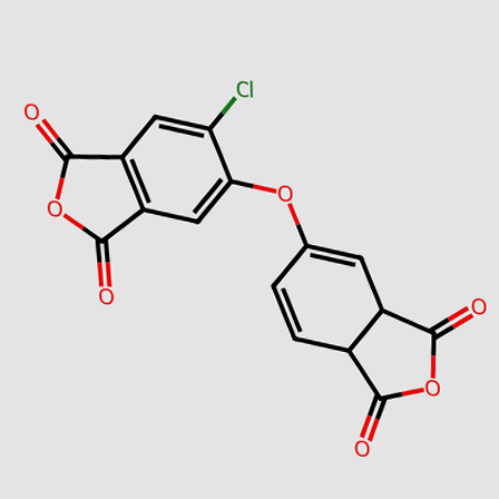 O=C1OC(=O)c2cc(OC3=CC4C(=O)OC(=O)C4C=C3)c(Cl)cc21